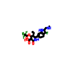 CCc1c(-c2ccc3c(F)c(CNC)[nH]c3c2)[nH]c(=O)c(C(=O)O)c1OC(=O)C(F)(F)F